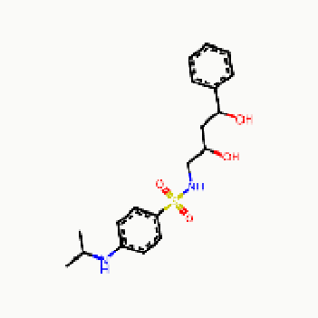 CC(C)Nc1ccc(S(=O)(=O)NC[C@H](O)CC(O)c2ccccc2)cc1